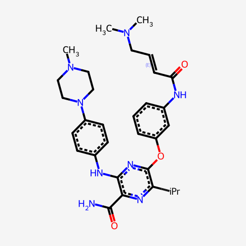 CC(C)c1nc(C(N)=O)c(Nc2ccc(N3CCN(C)CC3)cc2)nc1Oc1cccc(NC(=O)/C=C/CN(C)C)c1